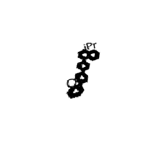 CC(C)c1ccc(-c2ccc(-c3ccc4c(c3)oc3ccccc34)cc2)c2ccccc12